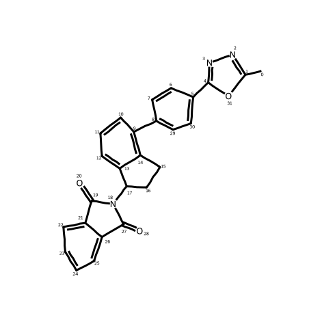 Cc1nnc(-c2ccc(-c3cccc4c3CCC4N3C(=O)c4ccccc4C3=O)cc2)o1